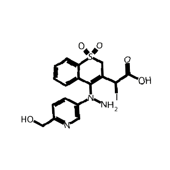 NN(C1=C(C(I)C(=O)O)CS(=O)(=O)c2ccccc21)c1ccc(CO)nc1